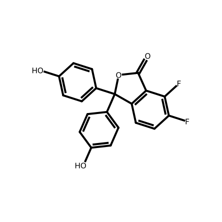 O=C1OC(c2ccc(O)cc2)(c2ccc(O)cc2)c2ccc(F)c(F)c21